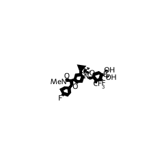 CNC(=O)c1c(-c2ccc(F)cc2)oc2cc(N(Cc3ccc(B(O)O)c(F)c3C(F)(F)F)S(C)(=O)=O)c(C3CC3)cc12